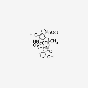 CCCCCCCCN1CCc2c(C)c(NS(N)(=O)=O)c(C)c(CC(C)(C)CNC(=O)c3ccccc3O)c21